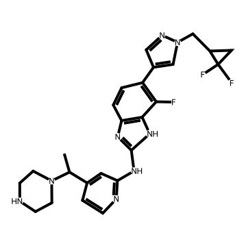 CC(c1ccnc(Nc2nc3ccc(-c4cnn(CC5CC5(F)F)c4)c(F)c3[nH]2)c1)N1CCNCC1